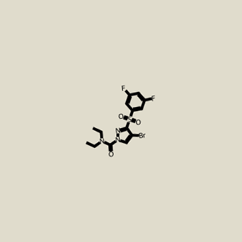 CCN(CC)C(=O)n1cc(Br)c(S(=O)(=O)c2cc(F)cc(F)c2)n1